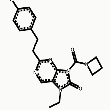 CCn1c(=O)n(C(=O)N2CCC2)c2nc(CCc3ccc(F)cc3)ncc21